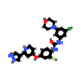 O=C(Nc1cc(Cl)cc(N2CCOCC2)c1)Nc1ccc(Oc2ccnc(-c3cn[nH]c3)c2)cc1F